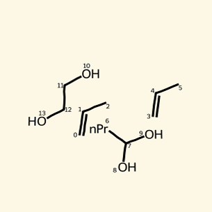 C=CC.C=CC.CCCC(O)O.OCCO